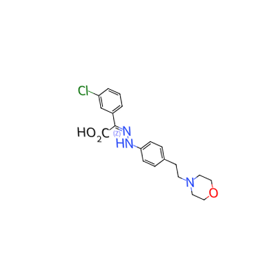 O=C(O)/C(=N\Nc1ccc(CCN2CCOCC2)cc1)c1cccc(Cl)c1